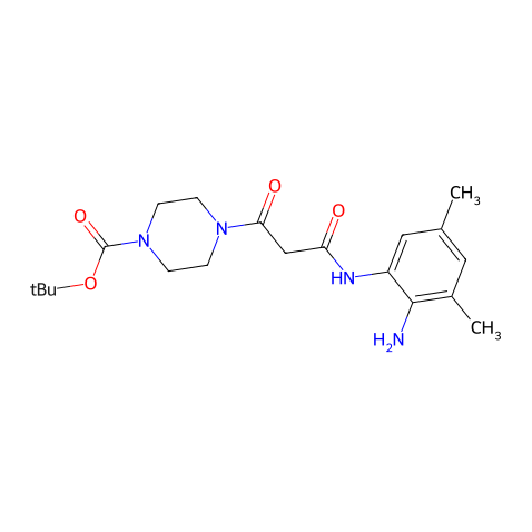 Cc1cc(C)c(N)c(NC(=O)CC(=O)N2CCN(C(=O)OC(C)(C)C)CC2)c1